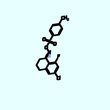 Cc1ccc(S(=O)(=O)O/N=C2\CCCc3cc(Cl)cc(F)c32)cc1